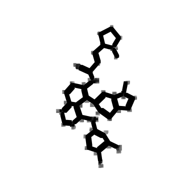 CN1CCCC1C=CC(=O)Nc1ccc2ncnc(Nc3ccc(F)c(Cl)c3)c2c1-c1ccc2ccn(C)c2c1